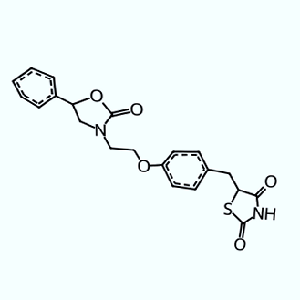 O=C1NC(=O)C(Cc2ccc(OCCN3CC(c4ccccc4)OC3=O)cc2)S1